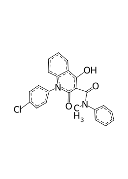 CN(C(=O)c1c(O)c2ccccc2n(-c2ccc(Cl)cc2)c1=O)c1ccccc1